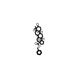 CC1(C)C(=O)CC[C@]2(C)[C@H]3CC[C@@H]4[C@H]5CCC[C@]5(C(=O)OCc5ccccc5)CC[C@@]4(C)[C@]3(C)CC[C@@H]12